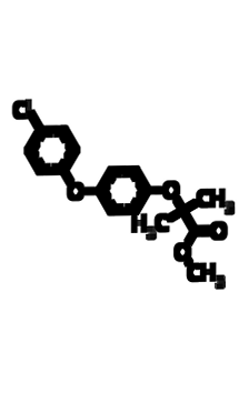 COC(=O)C(C)(C)Oc1ccc(Oc2ccc(Cl)cc2)cc1